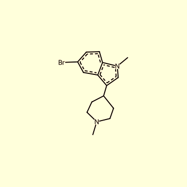 CN1CCC(c2cn(C)c3ccc(Br)cc23)CC1